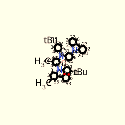 Cc1ccc(N2c3ccc(C(C)(C)C)cc3B3c4ccc(-n5c6ccccc6c6ccccc65)cc4N(c4ccc(C(C)(C)C)cc4)c4cc(C)cc2c43)c(-c2ccccc2)c1